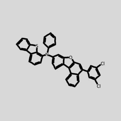 Clc1cc(Cl)cc(-c2cc3oc4cc(N(c5ccccc5)c5cccc6c5sc5ccccc56)ccc4c3c3ccccc23)c1